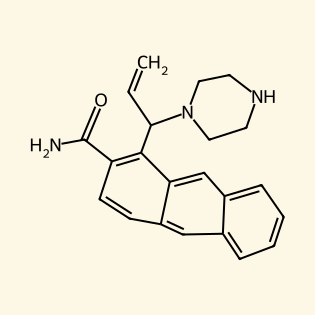 C=CC(c1c(C(N)=O)ccc2cc3ccccc3cc12)N1CCNCC1